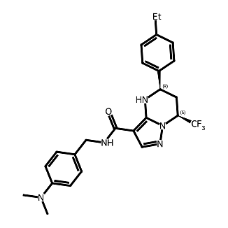 CCc1ccc([C@H]2C[C@@H](C(F)(F)F)n3ncc(C(=O)NCc4ccc(N(C)C)cc4)c3N2)cc1